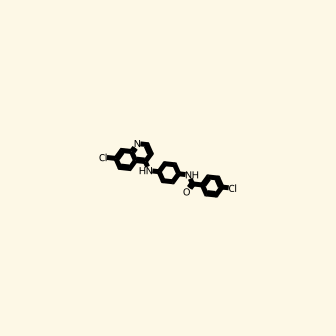 O=C(NC1CCC(Nc2ccnc3cc(Cl)ccc23)CC1)c1ccc(Cl)cc1